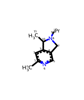 Cc1cc2c(cn1)CN(C(C)C)C2C